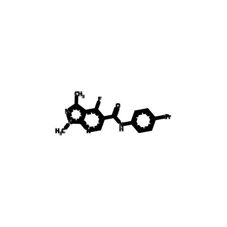 Cc1nn(C)c2ncc(C(=O)Nc3ccc(C(C)C)cc3)c(F)c12